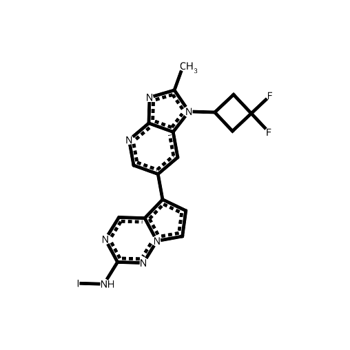 Cc1nc2ncc(-c3ccn4nc(NI)ncc34)cc2n1C1CC(F)(F)C1